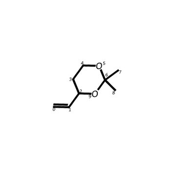 C=CC1CCOC(C)(C)O1